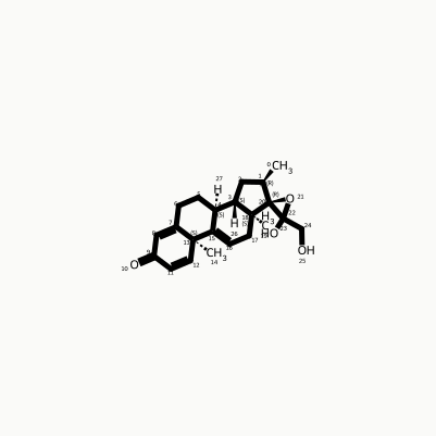 C[C@@H]1C[C@H]2[C@@H]3CCC4=CC(=O)C=C[C@]4(C)C3=CC[C@]2(C)[C@]12OC2(O)CO